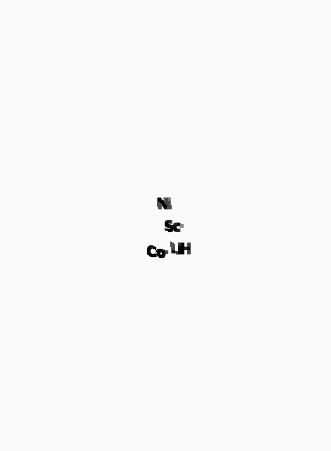 [Co].[LiH].[Ni].[Sc]